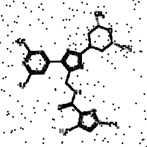 Cc1cc(-c2sc(N3C[C@@H](C)O[C@@H](C)C3)nc2CNC(=O)c2nn(C)cc2C)cc(C)n1